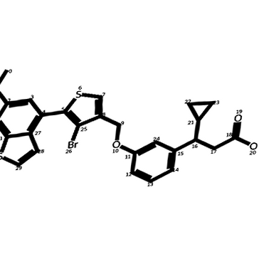 COc1cc(-c2scc(COc3cccc(C(CC(=O)O)C4CC4)c3)c2Br)c2ccsc2c1